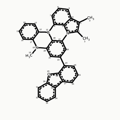 Cc1c(C)n2c3c(cccc13)B1c3ccccc3N(C)c3cc(-c4cccc5c4oc4ccccc45)cc-2c31